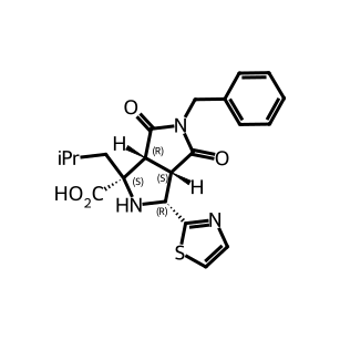 CC(C)C[C@]1(C(=O)O)N[C@@H](c2nccs2)[C@H]2C(=O)N(Cc3ccccc3)C(=O)[C@H]21